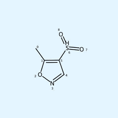 Cc1oncc1[SH](=O)=O